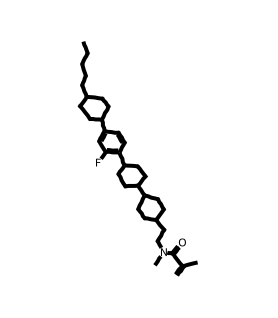 C=C(C)C(=O)N(C)CCC1CCC(C2CCC(c3ccc(C4CCC(CCCCC)CC4)cc3F)CC2)CC1